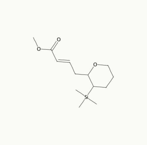 COC(=O)C=CCC1OCCCC1[Si](C)(C)C